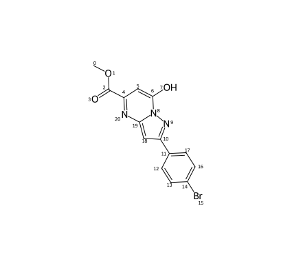 COC(=O)c1cc(O)n2nc(-c3ccc(Br)cc3)cc2n1